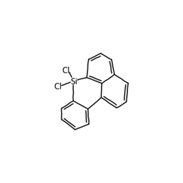 Cl[Si]1(Cl)c2ccccc2-c2cccc3cccc1c23